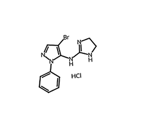 Brc1cnn(-c2ccccc2)c1NC1=NCCN1.Cl